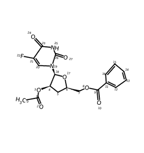 CC(=O)O[C@@H]1C[C@H](COC(=O)c2ccccc2)O[C@@H]1n1cc(F)c(=O)[nH]c1=O